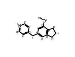 COc1cc(Cc2ccncc2)cc2c1CCC2